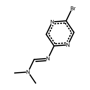 CN(C)C=Nc1cnc(Br)cn1